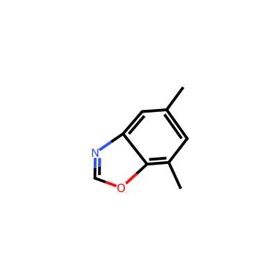 Cc1cc(C)c2ocnc2c1